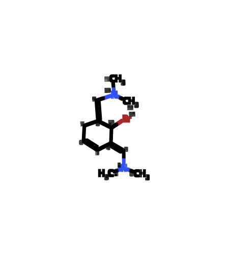 CN(C)C=C1C=CCC(=CN(C)C)C1Br